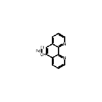 CCO.[Pd].c1cnc2c(c1)ccc1cccnc12